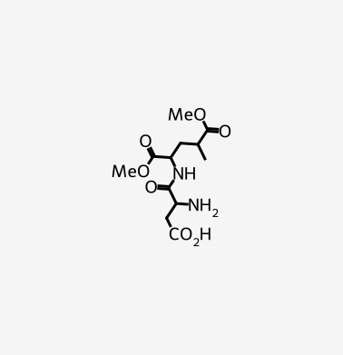 COC(=O)C(C)CC(NC(=O)C(N)CC(=O)O)C(=O)OC